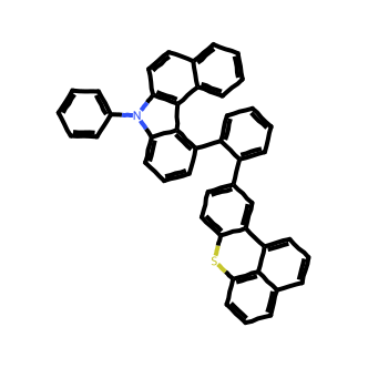 c1ccc(-n2c3cccc(-c4ccccc4-c4ccc5c(c4)-c4cccc6cccc(c46)S5)c3c3c4ccccc4ccc32)cc1